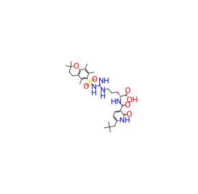 Cc1c(C)c(S(=O)(=O)NC(=N)NCCC[C@H](NC(=O)c2ccc(CC(C)(C)C)[nH]c2=O)C(=O)O)c(C)c2c1OC(C)(C)CC2